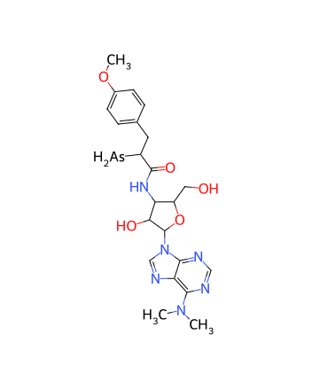 COc1ccc(CC([AsH2])C(=O)NC2C(CO)OC(n3cnc4c(N(C)C)ncnc43)C2O)cc1